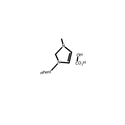 CCCCCN1C=CN(C)C1.O=C(O)O